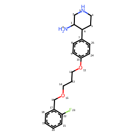 NC1CNCCC1c1ccc(OCCCOCc2ccccc2F)cc1